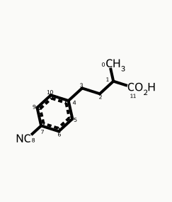 CC(CCc1ccc(C#N)cc1)C(=O)O